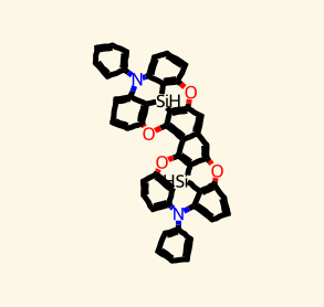 c1ccc(N2c3cccc4c3[SiH]3c5c(cccc52)Oc2c3c(cc3cc5c6c(c23)Oc2cccc3c2[SiH]6c2c(cccc2N3c2ccccc2)O5)O4)cc1